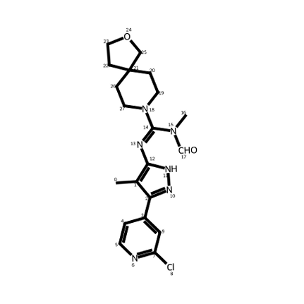 Cc1c(-c2ccnc(Cl)c2)n[nH]c1/N=C(\N(C)C=O)N1CCC2(CCOC2)CC1